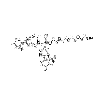 Cc1ccc(-c2ccc(C(C(=O)OCCOCCOCCOCCO)n3ccc4nc(-c5ccccc5F)nc-4c3)nn2)c(C(F)(F)F)c1